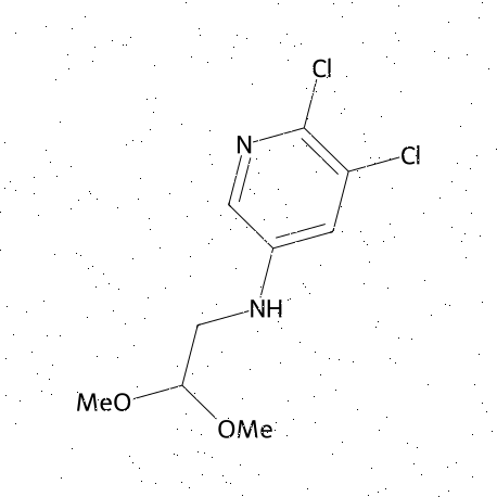 COC(CNc1cnc(Cl)c(Cl)c1)OC